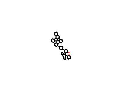 c1ccc2c(c1)Oc1ccc(-c3ccc(-c4cccc5c4-c4ccccc4C54c5ccccc5-c5c4ccc4ccccc54)cc3)cc1C21c2ccccc2-c2ccccc21